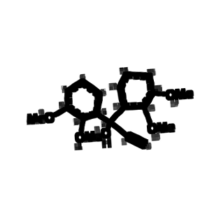 C#CC(O)(c1cccc(OC)c1OC)c1cccc(OC)c1OC